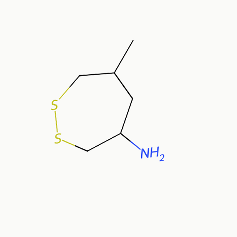 CC1CSSCC(N)C1